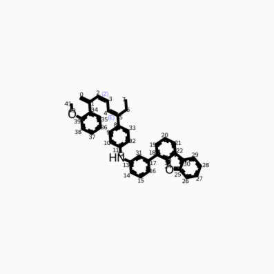 C=C(/C=C\C=C(/CC)c1ccc(Nc2cccc(-c3cccc4c3oc3ccccc34)c2)cc1)c1ccccc1OC